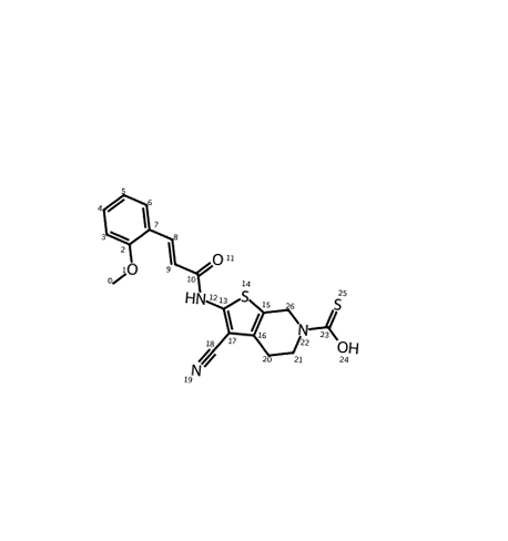 COc1ccccc1C=CC(=O)Nc1sc2c(c1C#N)CCN(C(O)=S)C2